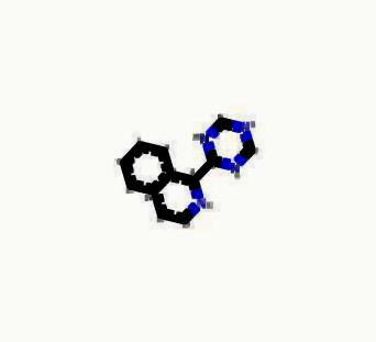 c1ccc2c(-c3ncncn3)nccc2c1